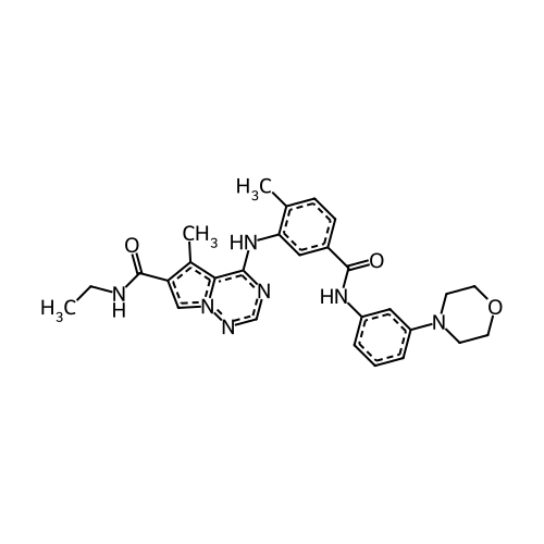 CCNC(=O)c1cn2ncnc(Nc3cc(C(=O)Nc4cccc(N5CCOCC5)c4)ccc3C)c2c1C